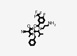 Cc1c(C#N)c(=O)nc(C(C(C)C)N(CCCN)C(=O)c2ccc(F)c(C(F)(F)F)c2)n1Cc1ccccc1